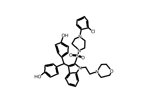 O=S(=O)(c1c(C(c2ccc(O)cc2)c2ccc(O)cc2)c2ccccc2n1CCN1CCOCC1)N1CCN(c2ccccc2Cl)CC1